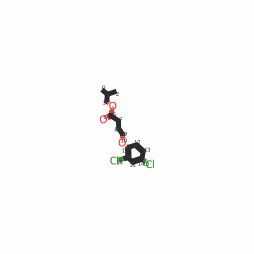 CC(C)COC(=O)CCCOc1ccc(Cl)cc1Cl